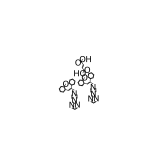 C1=C(CN2CCN(c3ncccn3)CC2)c2ccccc2Oc2ccccc21.C1=C(CN2CCN(c3ncccn3)CC2)c2ccccc2Oc2ccccc21.O=C(O)/C=C/C(=O)O